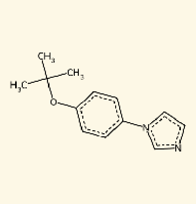 CC(C)(C)Oc1ccc(-n2ccnc2)cc1